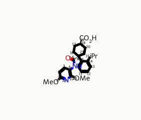 COc1ccc(NC(=O)[C@]2(c3ccccc3C(C)C)CC[C@@H](C(=O)O)CC2)c(OC)n1